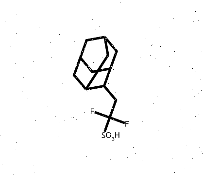 O=S(=O)(O)C(F)(F)CC1C2CC3CC(C2)CC1C3